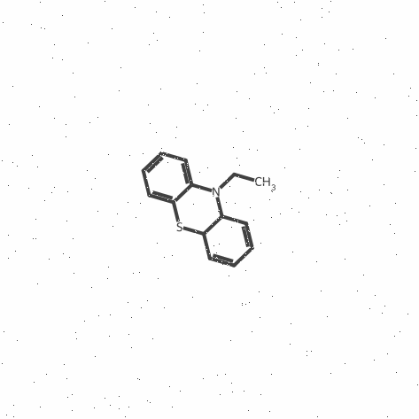 CCN1c2ccccc2SC2C=CC=CC21